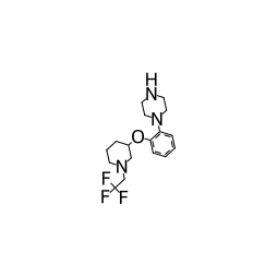 FC(F)(F)CN1CCCC(Oc2ccccc2N2CCNCC2)C1